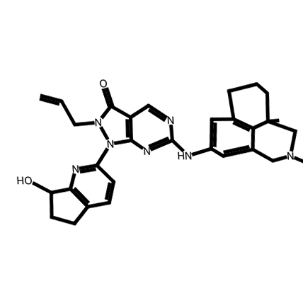 C=CCn1c(=O)c2cnc(Nc3cc4c5c(c3)CN(C)CC5(C)CCC4)nc2n1-c1ccc2c(n1)C(O)CC2